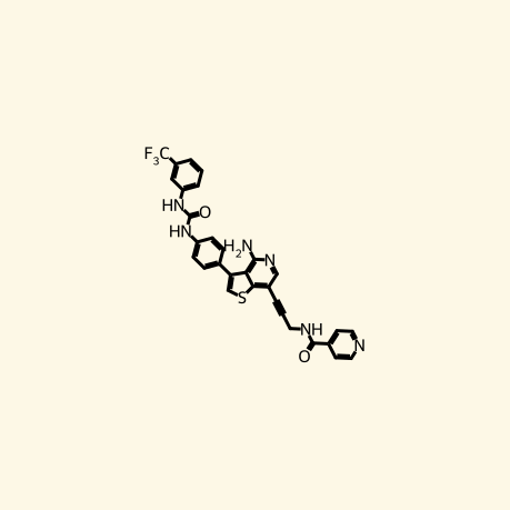 Nc1ncc(C#CCNC(=O)c2ccncc2)c2scc(-c3ccc(NC(=O)Nc4cccc(C(F)(F)F)c4)cc3)c12